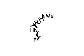 CNCCOCC(C)CNCCCC(C)C